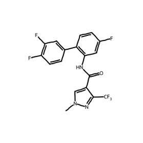 Cn1cc(C(=O)Nc2cc(F)ccc2-c2ccc(F)c(F)c2)c(C(F)(F)F)n1